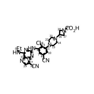 CCNc1nc(Nc2cc(C#N)cc(N3CCN(C4CN(C(=O)O)C4)CC3)c2Cl)nn2c(C#N)cnc12